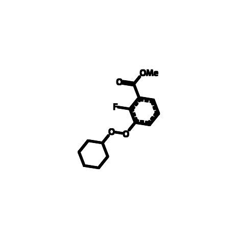 COC(=O)c1cccc(OOC2CCCCC2)c1F